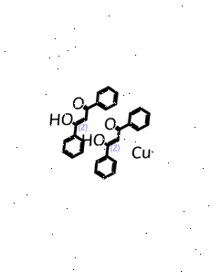 O=C(/C=C(\O)c1ccccc1)c1ccccc1.O=C(/C=C(\O)c1ccccc1)c1ccccc1.[Cu]